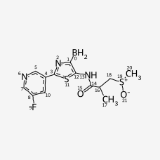 Bc1nc(-c2cncc(F)c2)sc1NC(=O)C(C)C[S+](C)[O-]